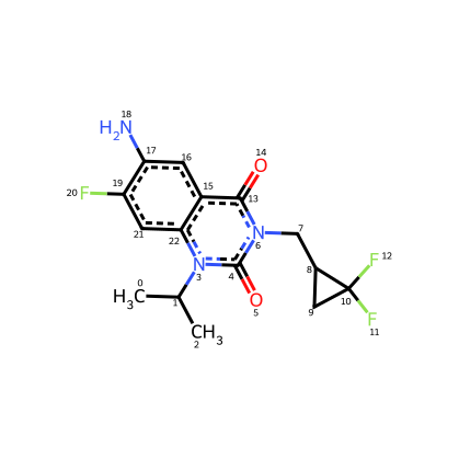 CC(C)n1c(=O)n(CC2CC2(F)F)c(=O)c2cc(N)c(F)cc21